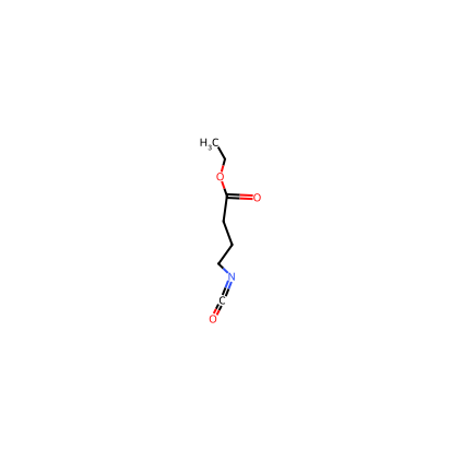 CCOC(=O)CCCN=C=O